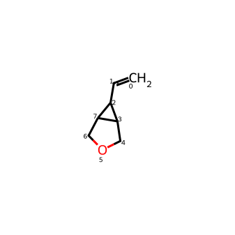 C=[C]C1C2COCC12